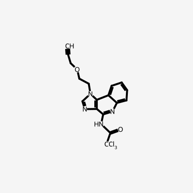 C#CCOCCn1cnc2c(NC(=O)C(Cl)(Cl)Cl)nc3ccccc3c21